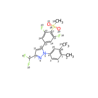 Cc1ccc(-n2nc(C(F)F)cc2-c2cc(F)c(S(C)(=O)=O)c(F)c2)cc1C(F)(F)F